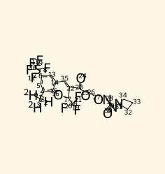 [2H]C([2H])([2H])c1cc(S(F)(F)(F)(F)F)cc2c1OC(C(F)(F)F)C(C(=O)OCON=[N+]([O-])N1CCC1)=C2